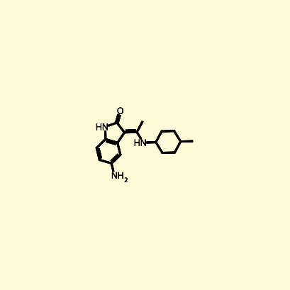 CC(NC1CCC(C)CC1)=C1C(=O)Nc2ccc(N)cc21